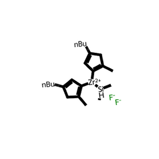 CCCCC1=C[C]([Zr+2]([C]2=C(C)CC(CCCC)=C2)[SiH](C)C)=C(C)C1.[F-].[F-]